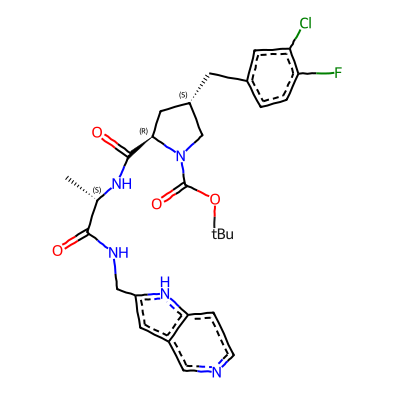 C[C@H](NC(=O)[C@H]1C[C@H](Cc2ccc(F)c(Cl)c2)CN1C(=O)OC(C)(C)C)C(=O)NCc1cc2cnccc2[nH]1